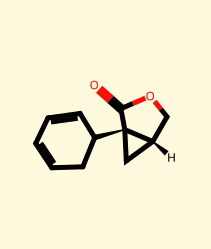 O=C1OC[C@@H]2C[C@]12C1C=CC=CC1